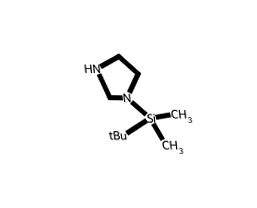 CC(C)(C)[Si](C)(C)N1CCNC1